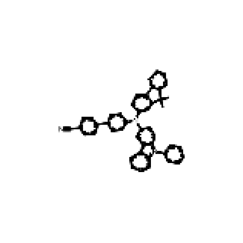 CC1(C)c2ccccc2-c2ccc(N(c3ccc(-c4ccc(C#N)cc4)cc3)c3ccc4c(c3)c3ccccc3n4-c3ccccc3)cc21